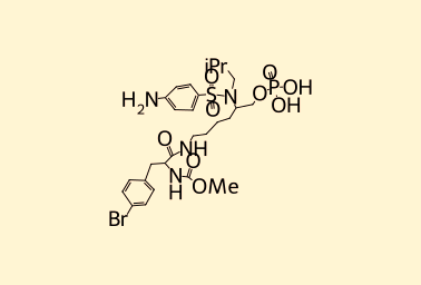 COC(=O)NC(Cc1ccc(Br)cc1)C(=O)NCCCCC(COP(=O)(O)O)N(CC(C)C)S(=O)(=O)c1ccc(N)cc1